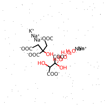 O.O.O.O.O=C([O-])C(O)C(O)C(=O)[O-].O=C([O-])CC(O)(CC(=O)[O-])C(=O)[O-].[K+].[Na+].[Na+].[Na+].[Na+]